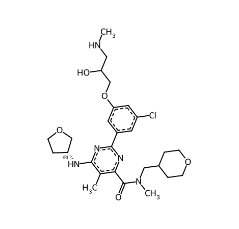 CNCC(O)COc1cc(Cl)cc(-c2nc(N[C@@H]3CCOC3)c(C)c(C(=O)N(C)CC3CCOCC3)n2)c1